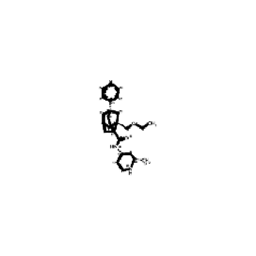 CCOC[C@]12CC3CC1(C(=O)N[C@H]1CCN[C@@H](C)C1)C[C@@](c1ccccc1)(C3)C2